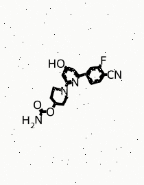 N#Cc1ccc(-c2cc(O)cc(N3CCC(OC(N)=O)CC3)n2)cc1F